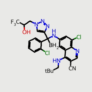 BC(Nc1cc(Cl)c2ncc(C#N)c(NCC(C)(C)C)c2c1)(c1cn(CC(O)C(F)(F)F)nn1)c1ccccc1Cl